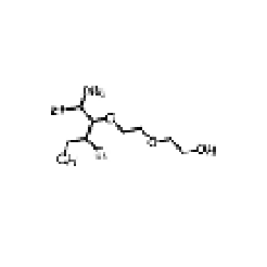 CCCCC(CC)C(OCCOCCO)C(CC)CO